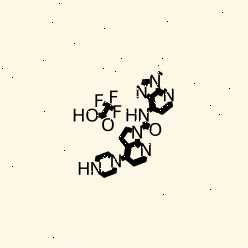 Cn1cnc2c(NC(=O)N3CCc4c(N5CCNCC5)ccnc43)ccnc21.O=C(O)C(F)(F)F